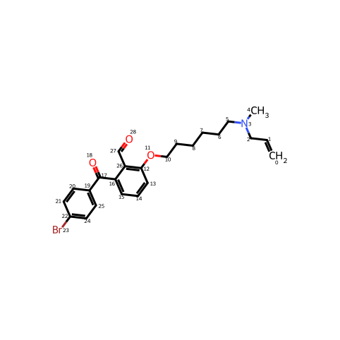 C=CCN(C)CCCCCCOc1cccc(C(=O)c2ccc(Br)cc2)c1C=O